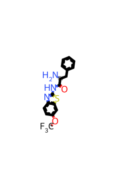 N[C@H](Cc1ccccc1)C(=O)Nc1nc2ccc(OC(F)(F)F)cc2s1